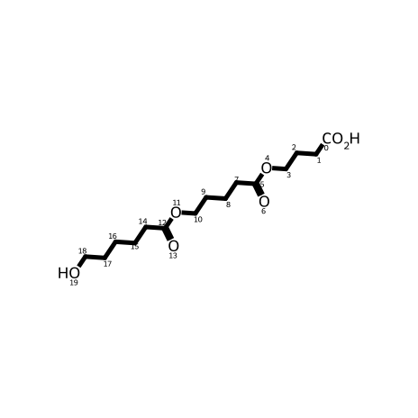 O=C(O)CCCOC(=O)CCCCOC(=O)CCCCCO